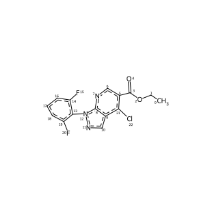 CCOC(=O)c1cnc2c(cnn2-c2c(F)cccc2F)c1Cl